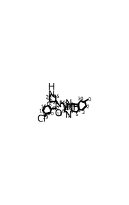 Cc1ccc(Cc2ncc(CN(C(=O)c3cccc(Cl)c3)C3CCNC3)[nH]2)c(C#N)c1